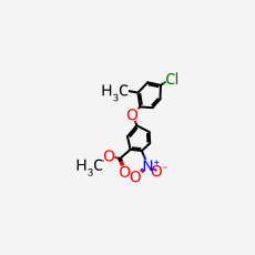 COC(=O)c1cc(Oc2ccc(Cl)cc2C)ccc1[N+](=O)[O-]